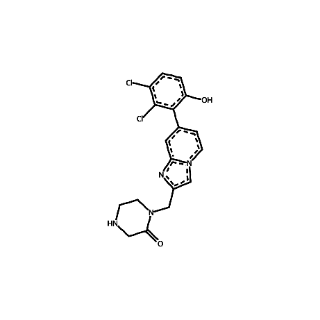 O=C1CNCCN1Cc1cn2ccc(-c3c(O)ccc(Cl)c3Cl)cc2n1